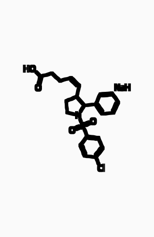 O=C(O)CC/C=C\C1CCN(S(=O)(=O)c2ccc(Cl)cc2)C1c1ccccc1.[NaH]